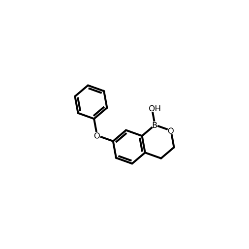 OB1OCCc2ccc(Oc3ccccc3)cc21